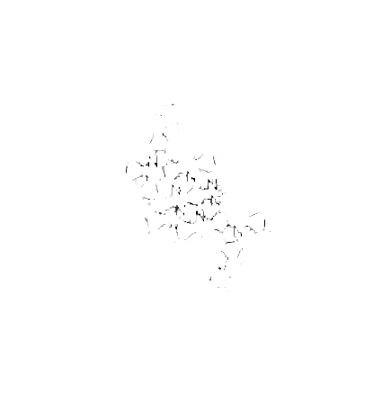 c1ccc(-c2nc3c(N(c4ccccc4)c4ccc5c(c4)c4cc(C6CCCCC6)ccc4n5-c4ccccc4)c4nsnc4c(N(c4ccccc4)c4ccc5c(c4)c4cc(C6CCCCC6)ccc4n5-c4ccccc4)c3nc2-c2ccccc2)cc1